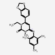 CCn1c(-c2ccc3c(c2)OCO3)c/c(=N/c2c(C)cc(C)cc2C)n(C)c1=O